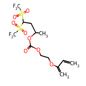 C=CC(=C)OCCOC(=O)OC(C)CC(S(=O)(=O)C(F)(F)F)S(=O)(=O)C(F)(F)F